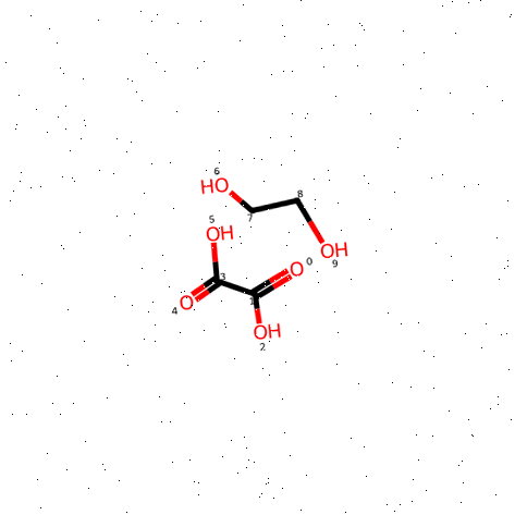 O=C(O)C(=O)O.OCCO